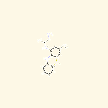 CCC(CN)Nc1cc(C(F)(F)F)cc2c1Nc1ccccc1S2